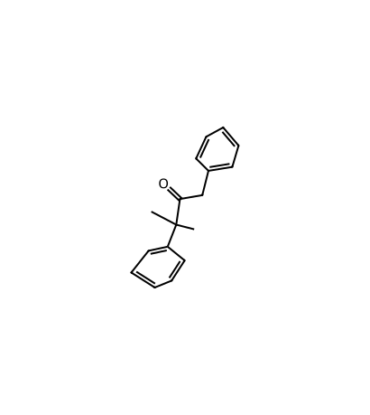 CC(C)(C(=O)Cc1ccccc1)c1ccccc1